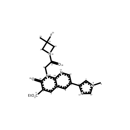 CCOC(=O)c1cc2cc(-c3cn(C)cn3)cnc2n(CC(=O)N2CC(C)(F)C2)c1=O